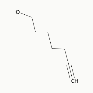 C#CCCCCC[O]